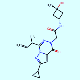 C=CC(C)c1nn(CC(=O)N[C@H]2C[C@@](C)(O)C2)c(=O)c2cc(C3CC3)nn12